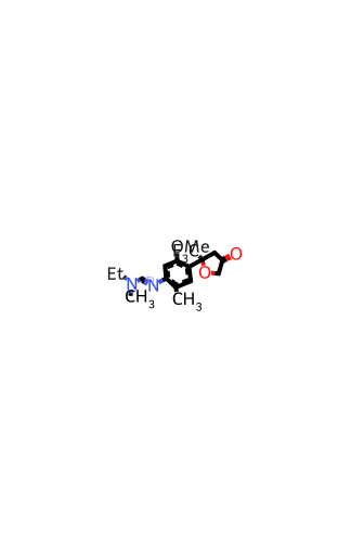 CCN(C)/C=N/c1cc(OC)c(C2(C(F)(F)F)CC(=O)CO2)cc1C